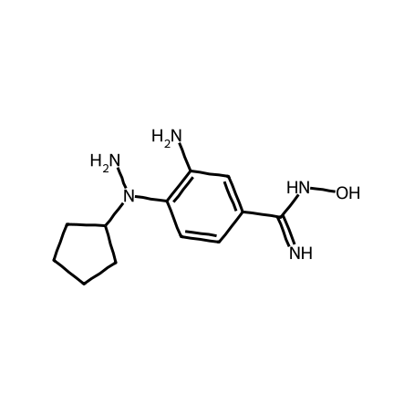 N=C(NO)c1ccc(N(N)C2CCCC2)c(N)c1